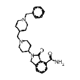 NC(=O)c1cccc2c1C(=O)N(C1CCN(CC3CCN(Cc4ccccc4)CC3)CC1)C2